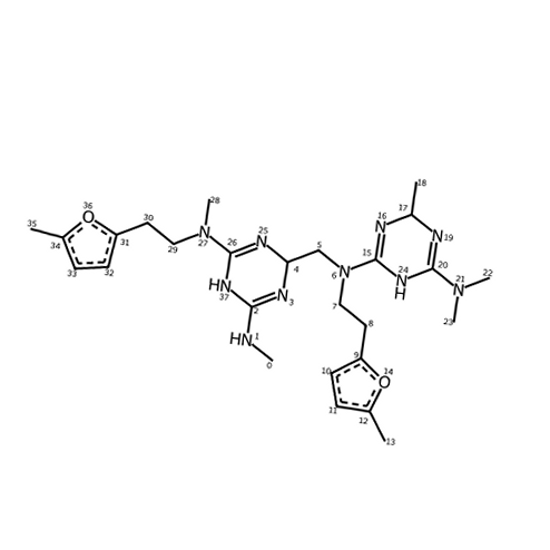 CNC1=NC(CN(CCc2ccc(C)o2)C2=NC(C)N=C(N(C)C)N2)N=C(N(C)CCc2ccc(C)o2)N1